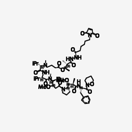 CC[C@H](C)[C@@H]([C@@H](CC(=O)N1CCC[C@H]1[C@H](OC)[C@@H](C)C(=O)N[C@@H](Cc1ccccc1)C(=O)N1CCCCO1)OC)N(C)C(=O)[C@@H](NC(=O)[C@H](C(C)C)N(C)CCCC(=O)O[C@H](C)[C@H](C)C(=O)NNC(=O)CCCCCN1C(=O)C=CC1=O)C(C)C